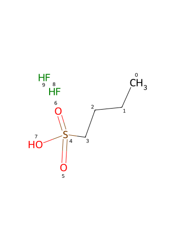 CCCCS(=O)(=O)O.F.F